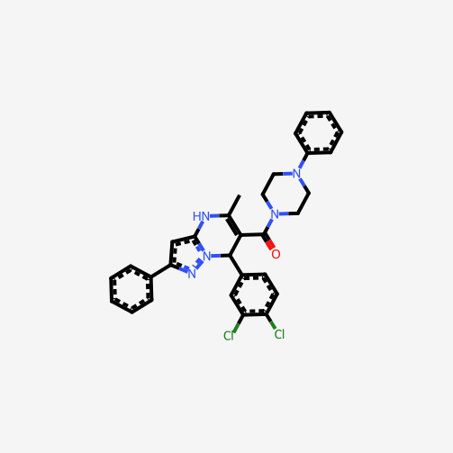 CC1=C(C(=O)N2CCN(c3ccccc3)CC2)C(c2ccc(Cl)c(Cl)c2)n2nc(-c3ccccc3)cc2N1